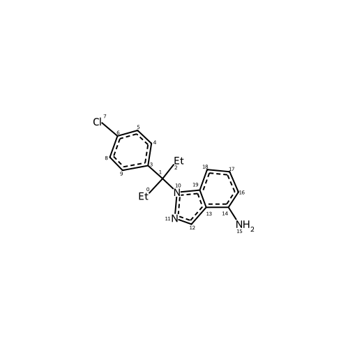 CCC(CC)(c1ccc(Cl)cc1)n1ncc2c(N)cccc21